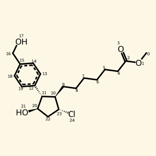 COC(=O)CCCCCC[C@@H]1[C@@H](c2ccc(CO)cc2)[C@H](O)C[C@H]1Cl